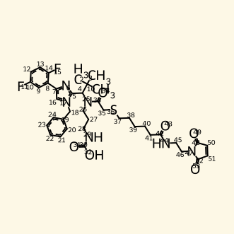 CC(C)(C)C(c1nc(-c2cc(F)ccc2F)cn1Cc1ccccc1)N(CCCNC(=O)O)C(=O)CSCCCCCC(=O)NCCN1C(=O)C=CC1=O